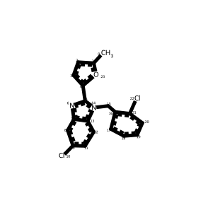 Cc1ccc(-c2nc3cc(Cl)ccc3n2Cc2ccccc2Cl)o1